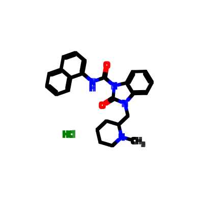 CN1CCCCC1Cn1c(=O)n(C(=O)Nc2cccc3ccccc23)c2ccccc21.Cl